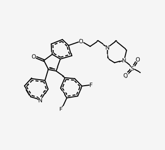 CS(=O)(=O)N1CCN(CCOc2ccc3c(c2)C(c2cc(F)cc(F)c2)=C(c2cccnc2)C3=O)CC1